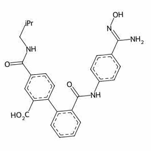 CC(C)CNC(=O)c1ccc(-c2ccccc2C(=O)Nc2ccc(C(N)=NO)cc2)c(C(=O)O)c1